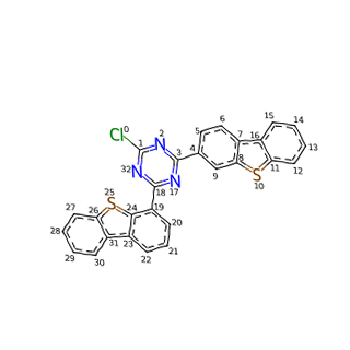 Clc1nc(-c2ccc3c(c2)sc2ccccc23)nc(-c2cccc3c2sc2ccccc23)n1